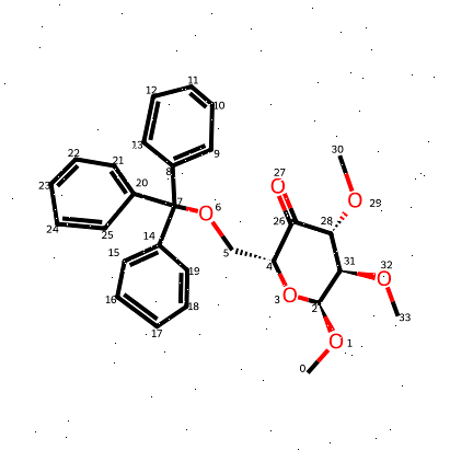 CO[C@H]1O[C@H](COC(c2ccccc2)(c2ccccc2)c2ccccc2)C(=O)[C@H](OC)[C@H]1OC